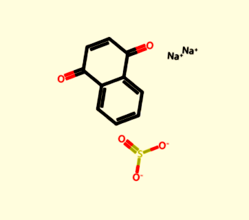 O=C1C=CC(=O)c2ccccc21.O=S([O-])[O-].[Na+].[Na+]